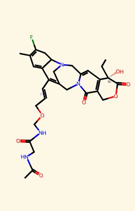 CC[C@@]1(O)C(=O)OCc2c1cc1n(c2=O)CC2=C(/C=C/COCNC(=O)CNC(C)=O)C3=CC(C)=C(F)CC3N(C2)C1